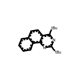 CC(C)(C)c1nc(C(C)(C)C)c2ccc3ccccc3c2n1